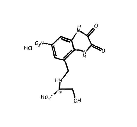 Cl.O=C(O)[C@H](CO)NCc1cc([N+](=O)[O-])cc2[nH]c(=O)c(=O)[nH]c12